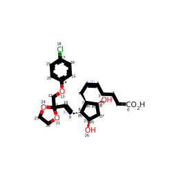 O=C(O)CCC/C=C\C[C@@H]1[C@@H](/C=C/C2(COc3ccc(Cl)cc3)OCCO2)[C@H](O)C[C@H]1O